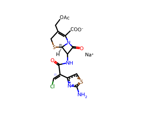 CC(=O)OCC1=C(C(=O)[O-])N2C(=O)C(NC(=O)/C(=C/Cl)c3csc(N)n3)[C@H]2SC1.[Na+]